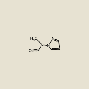 CN([C]=O)n1cccn1